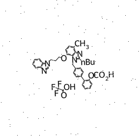 CCCCc1nc2c(C)ccc(OCCCn3cnc4ccccc43)c2n1Cc1ccc(-c2ccccc2OC(=O)O)cc1.O=C(O)C(F)(F)F